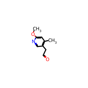 COc1cc(C)c(CC=O)cn1